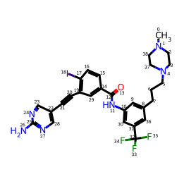 CN1CCN(CCCc2cc(NC(=O)c3ccc(I)c(C#Cc4cnc(N)nc4)c3)cc(C(F)(F)F)c2)CC1